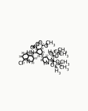 COC(=O)c1cc(-c2ccnc(N(C(=O)OC(C)(C)C)C(=O)OC(C)(C)C)c2)cc(Nc2ccnc3c(Cl)cccc23)c1[N+](=O)[O-]